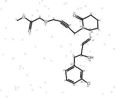 COC(=O)COCC#CCN1C(=O)CCC[C@@H]1/C=C/C(O)Cc1cccc(Cl)c1